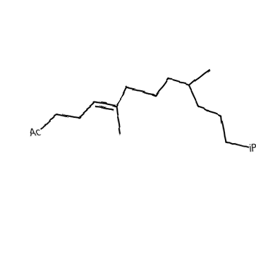 CC(=O)CC/C=C(\C)CCCC(C)CCCC(C)C